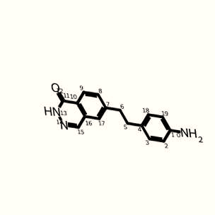 Nc1ccc(CCc2ccc3c(=O)[nH]ncc3c2)cc1